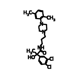 Cc1ccc(C)c(N2CCN(CCCNC(=O)C(C)(O)c3ccc(Cl)c(Cl)c3)CC2)c1